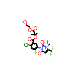 COCCOC(=O)C(C)(C)OC(=O)c1cc(N2C(=O)C=C(C(F)F)N(C)C2O)c(F)cc1Cl